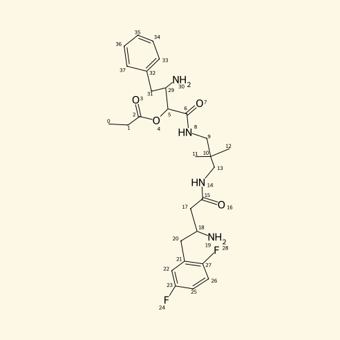 CCC(=O)OC(C(=O)NCC(C)(C)CNC(=O)CC(N)Cc1cc(F)ccc1F)C(N)Cc1ccccc1